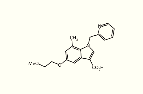 COCCOc1cc(C)c2c(c1)c(C(=O)O)cn2Cc1ccccn1